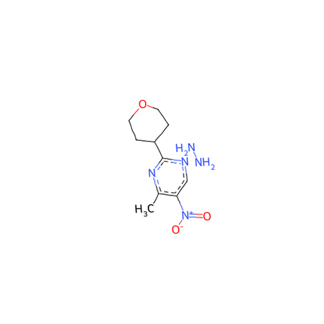 Cc1nc(C2CCOCC2)ncc1[N+](=O)[O-].NN